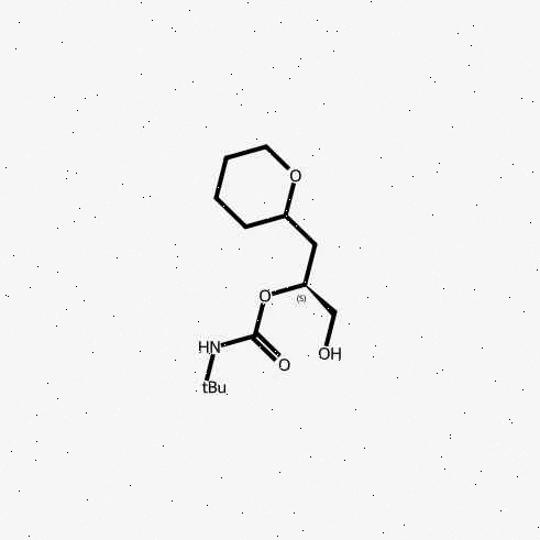 CC(C)(C)NC(=O)O[C@H](CO)CC1CCCCO1